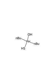 CCCC[PH](O)(S)CCCC